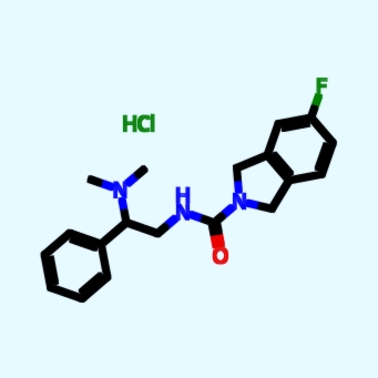 CN(C)C(CNC(=O)N1Cc2ccc(F)cc2C1)c1ccccc1.Cl